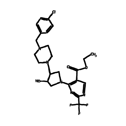 CCOC(=O)c1cnc(C(F)(F)F)nc1N1CC(O)C(N2CCN(Cc3ccc(Cl)cc3)CC2)C1